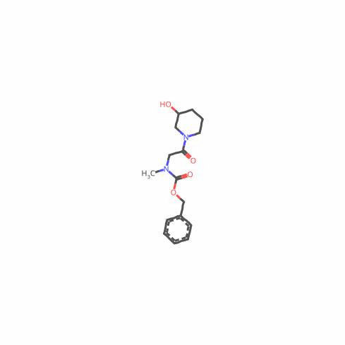 CN(CC(=O)N1CCCC(O)C1)C(=O)OCc1ccccc1